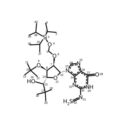 CC(C)[Si](OCO[C@@H]1[C@H](OC(C)(C)C)[C@@H](C(O)C(C)(C)C)O[C@H]1n1cnc2c(=O)[nH]c(N=[SiH2])nc21)(C(C)C)C(C)C